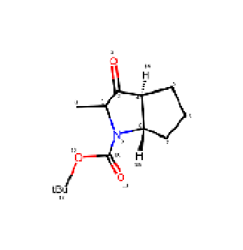 CC1C(=O)[C@H]2CCC[C@@H]2N1C(=O)OC(C)(C)C